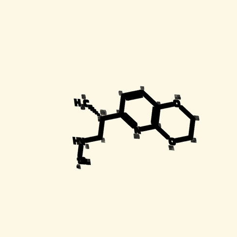 C[C@@H](CNC(C)(C)C)c1ccc2c(n1)OCCO2